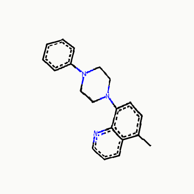 Cc1ccc(N2CCN(c3ccccc3)CC2)c2ncccc12